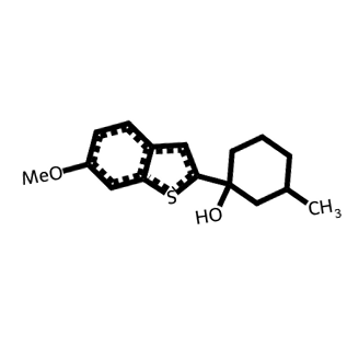 COc1ccc2cc(C3(O)CCCC(C)C3)sc2c1